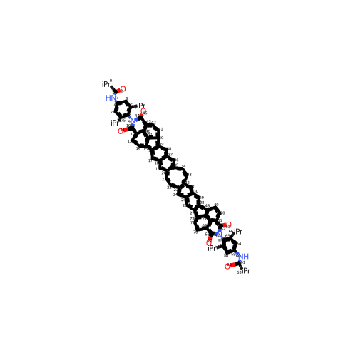 CC(C)C(=O)Nc1cc(C(C)C)c(-n2c(=O)c3ccc4c5cc6cc7ccc8cc9cc%10c(cc9cc8ccc7cc6cc5c5ccc(c2=O)c3c45)c2ccc3c(=O)n(-c4c(C(C)C)cc(NC(=O)C(C)C)cc4C(C)C)c(=O)c4ccc%10c2c43)c(C(C)C)c1